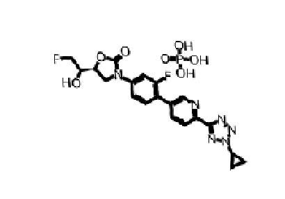 O=C1O[C@H](C(O)CF)CN1c1ccc(-c2ccc(-c3nnn(C4CC4)n3)nc2)c(F)c1.O=P(O)(O)O